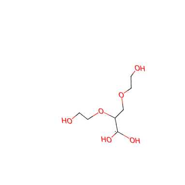 OCCOCC(OCCO)[C](O)O